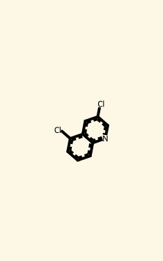 Clc1cnc2cccc(Cl)c2c1